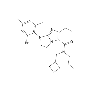 CCCN(CC1CCC1)C(=O)c1c(CC)nc2n1CCN2c1c(C)cc(C)cc1Br